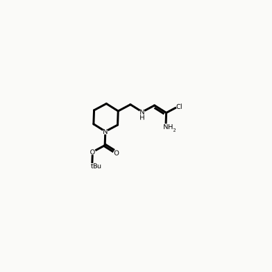 CC(C)(C)OC(=O)N1CCCC(CN/C=C(\N)Cl)C1